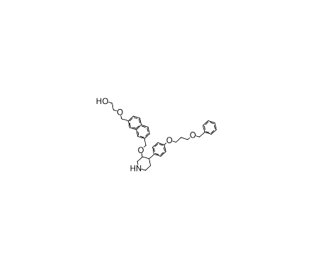 OCCOCc1ccc2ccc(COC3CNCCC3c3ccc(OCCCOCc4ccccc4)cc3)cc2c1